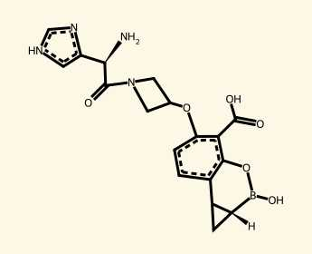 N[C@@H](C(=O)N1CC(Oc2ccc3c(c2C(=O)O)OB(O)[C@@H]2CC32)C1)c1c[nH]cn1